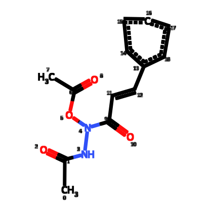 CC(=O)NN(OC(C)=O)C(=O)C=Cc1ccccc1